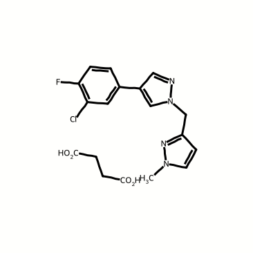 Cn1ccc(Cn2cc(-c3ccc(F)c(Cl)c3)cn2)n1.O=C(O)CCC(=O)O